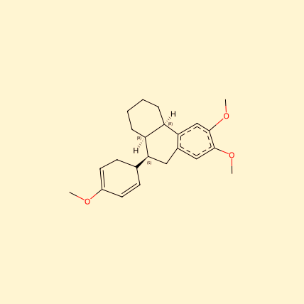 COC1=CCC([C@@H]2Cc3cc(OC)c(OC)cc3[C@@H]3CCCC[C@@H]32)C=C1